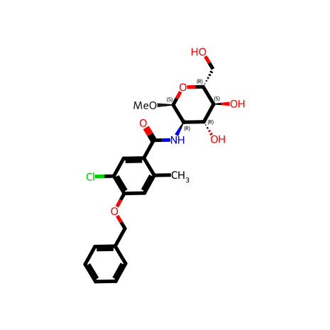 CO[C@H]1O[C@H](CO)[C@@H](O)[C@H](O)[C@H]1NC(=O)c1cc(Cl)c(OCc2ccccc2)cc1C